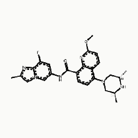 COc1ccc2c(N3C[C@H](C)N[C@@H](C)C3)ccc(C(=O)Nc3cc(F)c4nc(C)cn4c3)c2n1